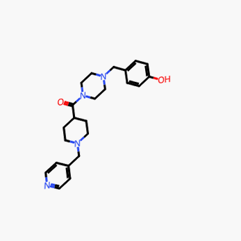 O=C(C1CCN(Cc2ccncc2)CC1)N1CCN(Cc2ccc(O)cc2)CC1